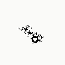 CC(C)(C)OC(=O)Nc1cccc2c1OCO2